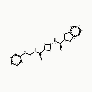 O=C(N[C@H]1C[C@H](C(=O)NCCc2ccccc2)C1)N1Cc2ccncc2C1